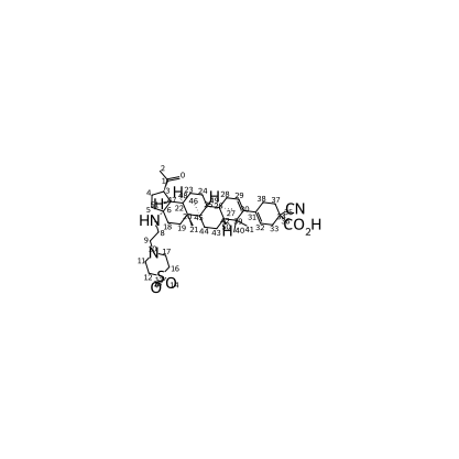 C=C(C)[C@@H]1CC[C@]2(NCCN3CCS(=O)(=O)CC3)CC[C@]3(C)[C@H](CC[C@@H]4[C@@]5(C)CC=C(C6=CCC(C#N)(C(=O)O)CC6)C(C)(C)[C@@H]5CC[C@]43C)[C@@H]12